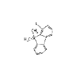 C[Si]1(C)c2ccccc2-c2cccc(I)c21